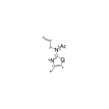 C=CCN(C(C)=O)c1nc(C)co1